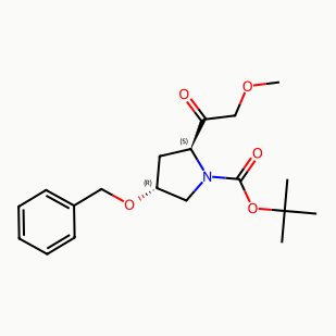 COCC(=O)[C@@H]1C[C@@H](OCc2ccccc2)CN1C(=O)OC(C)(C)C